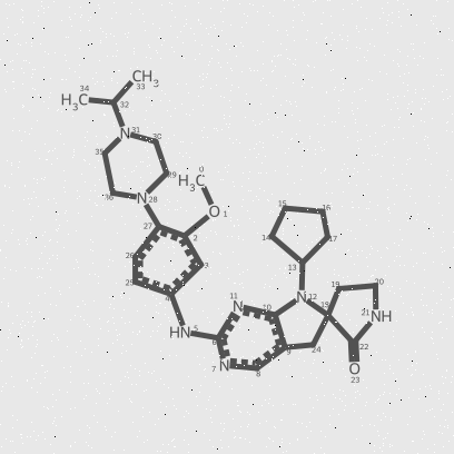 COc1cc(Nc2ncc3c(n2)N(C2CCCC2)C2(CCNC2=O)C3)ccc1N1CCN(C(C)C)CC1